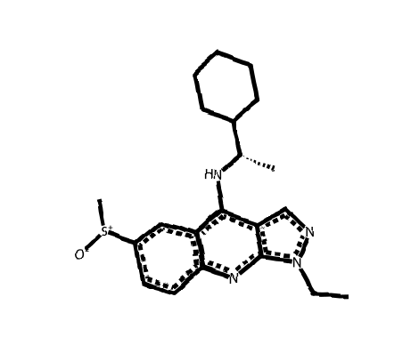 CCn1ncc2c(N[C@@H](C)C3CCCCC3)c3cc([S+](C)[O-])ccc3nc21